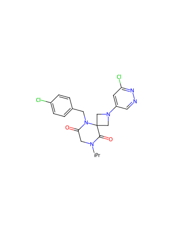 CC(C)N1CC(=O)N(Cc2ccc(Cl)cc2)C2(CN(c3cnnc(Cl)c3)C2)C1=O